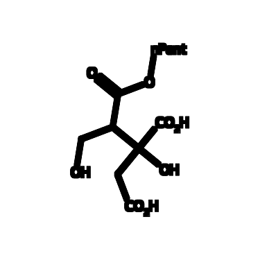 CCCCCOC(=O)C(CO)C(O)(CC(=O)O)C(=O)O